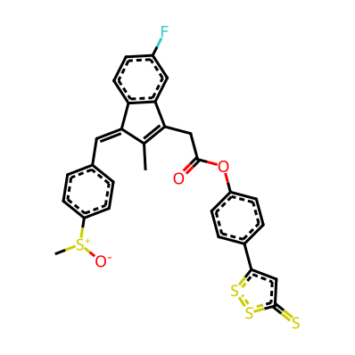 CC1=C(CC(=O)Oc2ccc(-c3cc(=S)ss3)cc2)c2cc(F)ccc2C1=Cc1ccc([S+](C)[O-])cc1